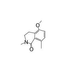 COc1ccc(C)c2c1CCN(C)C2=O